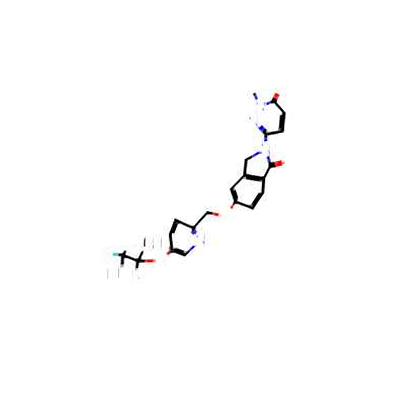 BC(B)(F)C(B)(B)Oc1ccc(COc2ccc3c(c2)CN(c2ccc(=O)n(C)n2)C3=O)nc1